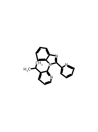 CC(C)c1cccnc1-n1c(-c2ccccn2)nc2ccccc21